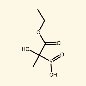 CCOC(=O)C(C)(O)S(=O)O